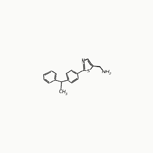 CC(c1ccccc1)c1ccc(-c2ncc(CN)s2)cc1